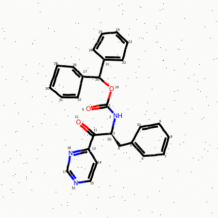 O=C(N[C@@H](Cc1ccccc1)C(=O)c1ccn[c]n1)OC(c1ccccc1)c1ccccc1